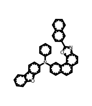 c1ccc(N(c2ccc3c(c2)oc2ccccc23)c2ccc3ccc4ccc5nc(-c6ccc7ccccc7c6)oc5c4c3c2)cc1